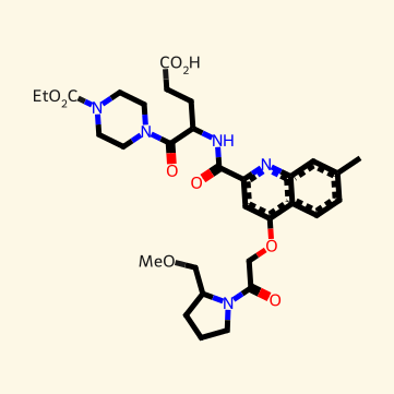 CCOC(=O)N1CCN(C(=O)C(CCC(=O)O)NC(=O)c2cc(OCC(=O)N3CCCC3COC)c3ccc(C)cc3n2)CC1